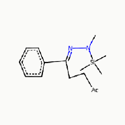 CC(=O)CCC(=NN(C)[Si](C)(C)C)c1ccccc1